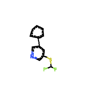 FC(F)Sc1cncc(-c2ccccc2)c1